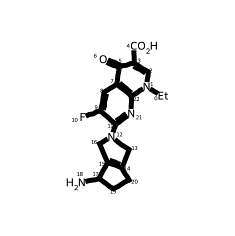 CCn1cc(C(=O)O)c(=O)c2cc(F)c(N3CC4=C(C3)C(N)CC4)nc21